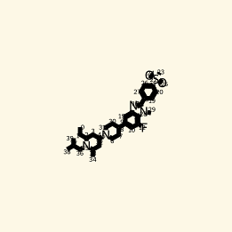 CCC1CC(N2CCC(c3cc(F)c4c(c3)nc(-c3ccc(S(C)(=O)=O)cc3)n4C)CC2)CC(C)N1CC(C)C